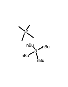 CCCC[B-](CCCC)(CCCC)CCCC.C[N+](C)(C)C